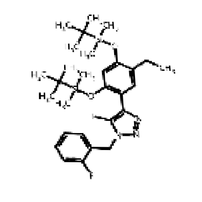 CCc1cc(-c2nnn(Cc3ccccc3F)c2I)c(O[Si](C)(C)C(C)(C)C)cc1O[Si](C)(C)C(C)(C)C